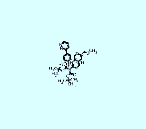 COC[C@H]1C[C@H]2CSC(N(C(=O)OC(C)(C)C)C(=O)OC(C)(C)C)=N[C@@]2(c2cc(-c3cccnn3)ccc2F)CO1